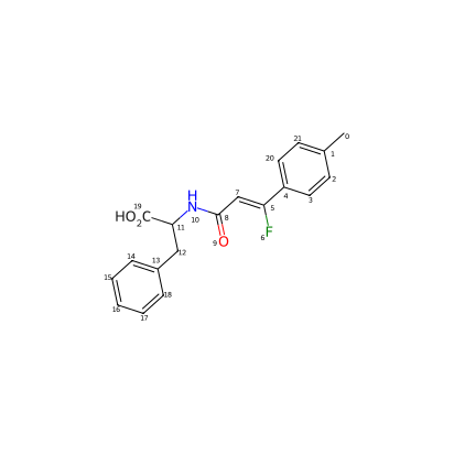 Cc1ccc(C(F)=CC(=O)NC(Cc2ccccc2)C(=O)O)cc1